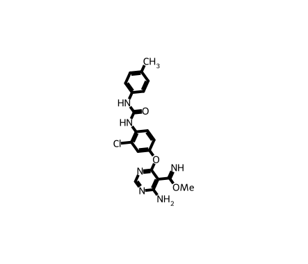 COC(=N)c1c(N)ncnc1Oc1ccc(NC(=O)Nc2ccc(C)cc2)c(Cl)c1